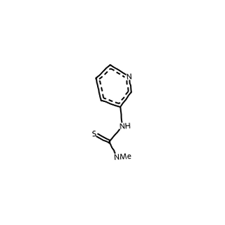 CNC(=S)Nc1cccnc1